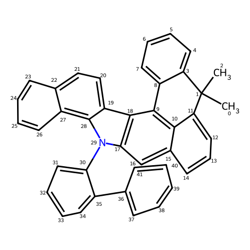 CC1(C)c2ccccc2-c2c3c1cccc3cc1c2c2ccc3ccccc3c2n1-c1ccccc1-c1ccccc1